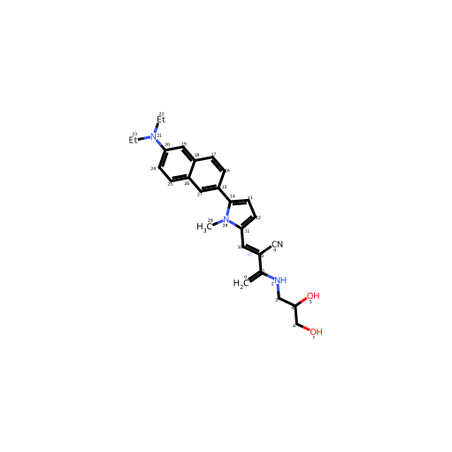 C=C(NCC(O)CO)/C(C#N)=C/c1ccc(-c2ccc3cc(N(CC)CC)ccc3c2)n1C